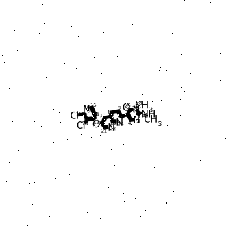 CNc1ncc(-c2ccc3cc(Oc4ccnc(Cl)c4Cl)cnc3n2)c(=O)n1C